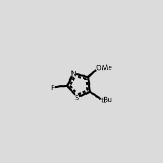 COc1nc(F)sc1C(C)(C)C